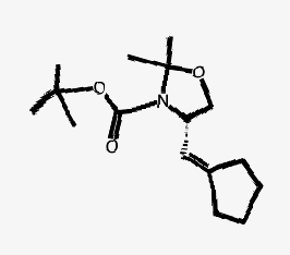 CC(C)(C)OC(=O)N1[C@@H](C=C2CCCC2)COC1(C)C